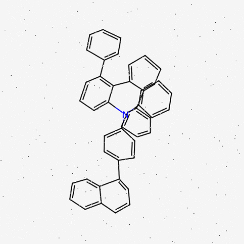 c1ccc(-c2ccccc2-c2c(-c3ccccc3)cccc2N(c2ccccc2)c2ccc(-c3cccc4ccccc34)cc2)cc1